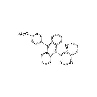 COc1ccc(-c2c3ccccc3c(-c3ccnc4cccnc34)c3ccccc23)cc1